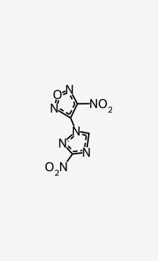 O=[N+]([O-])c1ncn(-c2nonc2[N+](=O)[O-])n1